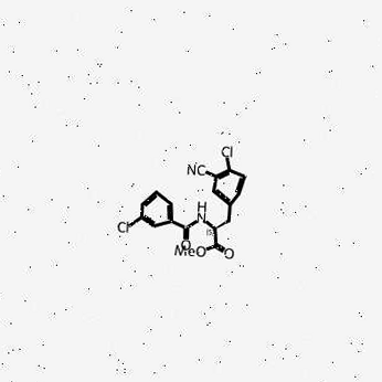 COC(=O)[C@H](Cc1ccc(Cl)c(C#N)c1)NC(=O)c1cccc(Cl)c1